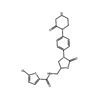 O=C(NCC1CN(c2ccc(N3CCNCC3=O)cc2)C(=O)O1)c1ccc(Cl)s1